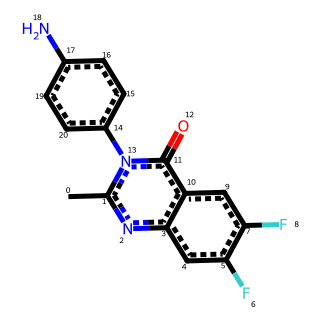 Cc1nc2cc(F)c(F)cc2c(=O)n1-c1ccc(N)cc1